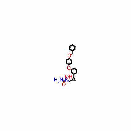 NC(=O)N(O)CC1CC1c1cccc(Oc2ccc(OCc3ccccc3)cc2)c1